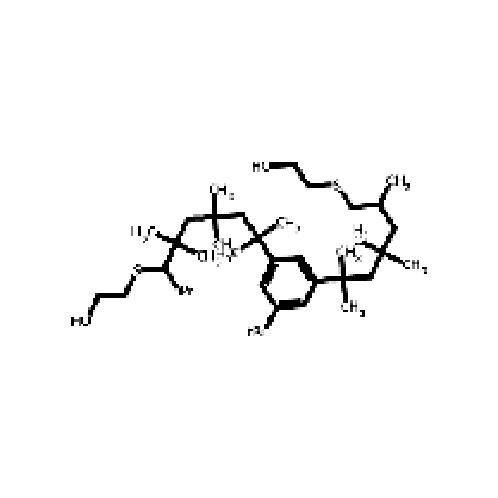 CC(CSCCO)CC(C)(C)CC(C)(C)c1cc(C(C)(C)C)cc(C(C)(C)CC(C)(C)CC(C)(C)C(SCCO)C(C)C)c1